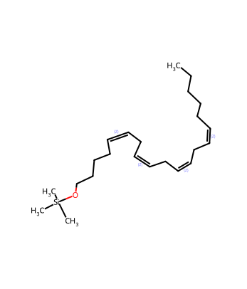 CCCCC/C=C\C/C=C\C/C=C\C/C=C\CCCCO[Si](C)(C)C